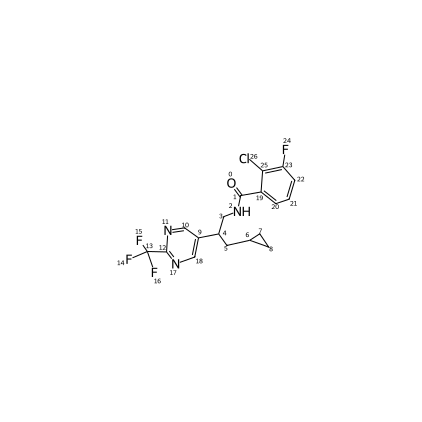 O=C(NCC(CC1CC1)c1cnc(C(F)(F)F)nc1)c1cccc(F)c1Cl